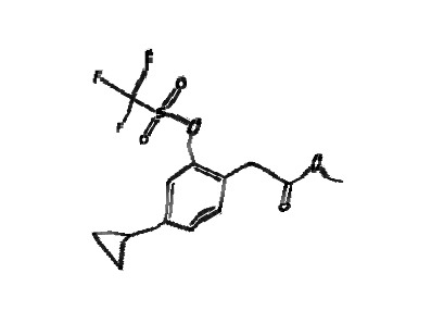 COC(=O)Cc1ccc(C2CC2)cc1OS(=O)(=O)C(F)(F)F